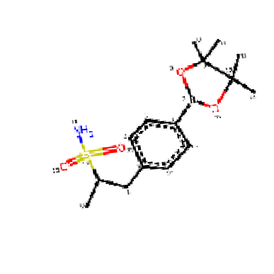 CC(Cc1ccc(B2OC(C)(C)C(C)(C)O2)cc1)S(N)(=O)=O